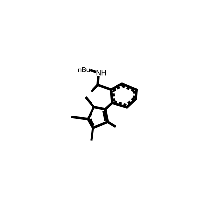 CCCCNC(C)c1ccccc1C1=C(C)C(C)=C(C)C1C